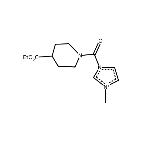 CCOC(=O)C1CCN(C(=O)n2cc[n+](C)c2)CC1